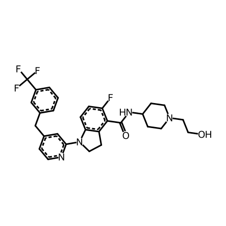 O=C(NC1CCN(CCO)CC1)c1c(F)ccc2c1CCN2c1cc(Cc2cccc(C(F)(F)F)c2)ccn1